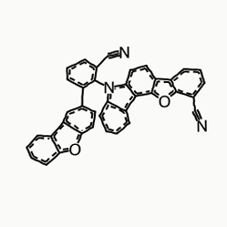 N#Cc1cccc(-c2ccc3oc4ccccc4c3c2)c1-n1c2ccccc2c2c3oc4c(C#N)cccc4c3ccc21